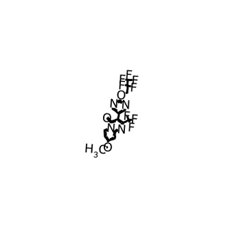 COc1ccn2c(=O)c(-c3cnc(OCC(F)(F)C(F)(F)F)nc3)c(C(F)(F)F)nc2c1